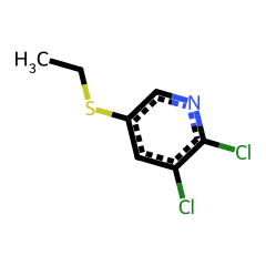 CCSc1cnc(Cl)c(Cl)c1